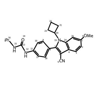 COc1ccc2c(C#N)c(-c3ccc(NC(=O)NC(C)C)cc3)n(C3CCC3)c2c1